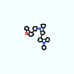 c1ccc(-n2c3ccccc3c3c(-c4ccc5c6ccccc6n(-c6cccc(-c7cccc8oc9ccccc9c78)c6)c5c4)cccc32)cc1